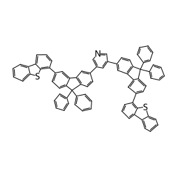 c1ccc(C2(c3ccccc3)c3ccc(-c4cncc(-c5ccc6c(c5)-c5cc(-c7cccc8c7sc7ccccc78)ccc5C6(c5ccccc5)c5ccccc5)c4)cc3-c3cc(-c4cccc5c4sc4ccccc45)ccc32)cc1